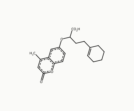 Cc1cc(=O)oc2ccc(OC(CCC3=CCCCC3)C(=O)O)cc12